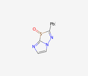 O=S1[C]([Pb])=Nn2ccnc21